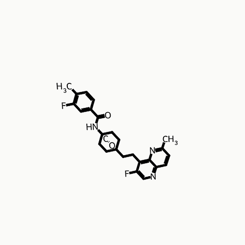 Cc1ccc2ncc(F)c(CCC34CCC(NC(=O)c5ccc(C)c(F)c5)(CC3)CO4)c2n1